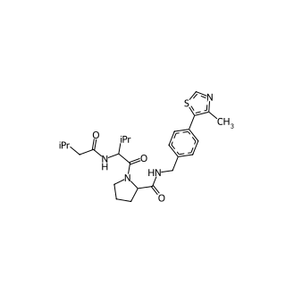 Cc1ncsc1-c1ccc(CNC(=O)C2CCCN2C(=O)C(NC(=O)CC(C)C)C(C)C)cc1